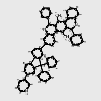 Cc1c2c(-c3ccccc3)nc3cc(-c4ccc5c(c4)C(c4ccccc4)(c4ccccc4)c4cc(-c6cccnc6)ccc4-5)ccc3c2c(C)c2c(-c3ccccc3)nc3ccccc3c12